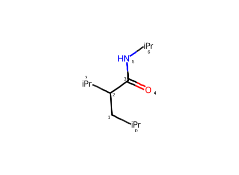 CC(C)CC(C(=O)NC(C)C)C(C)C